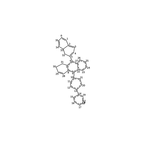 C1=CC2=CC=C(c3c4c(c(-c5ccc(-c6cccnc6)cc5)c5ccccc35)C=CCC4)CC2C=C1